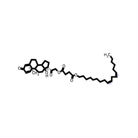 CCCCC/C=C\C/C=C\CCCCCCCCOC(=O)CCC(=O)OCC(=O)[C@H]1CCC2C3CCC4=CC(=O)C=C[C@]4(C)C3CCC21O